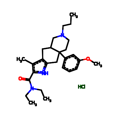 CCCN1CCC2(c3cccc(OC)c3)Cc3[nH]c(C(=O)N(CC)CC)c(C)c3CC2C1.Cl